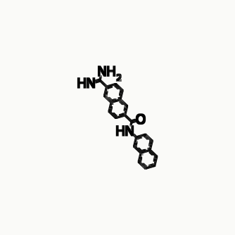 N=C(N)c1ccc2cc(C(=O)Nc3ccc4ccccc4c3)ccc2c1